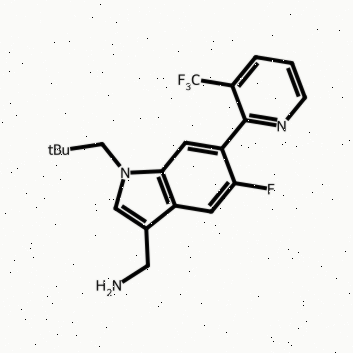 CC(C)(C)Cn1cc(CN)c2cc(F)c(-c3ncccc3C(F)(F)F)cc21